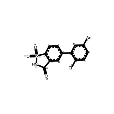 CC(=O)c1ccc(Cl)c(-c2ccc3c(c2)C(=O)NS3(=O)=O)c1